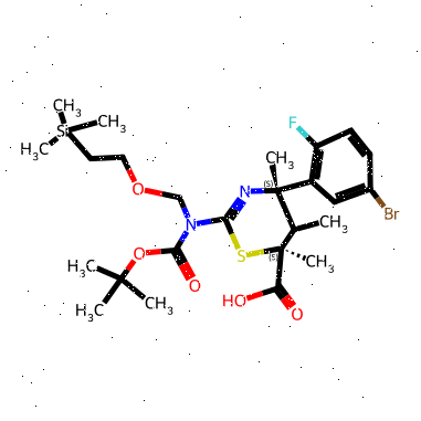 CC1[C@@](C)(C(=O)O)SC(N(COCC[Si](C)(C)C)C(=O)OC(C)(C)C)=N[C@]1(C)c1cc(Br)ccc1F